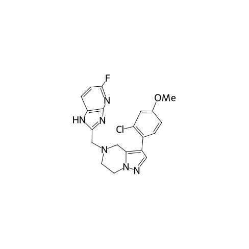 COc1ccc(-c2cnn3c2CN(Cc2nc4nc(F)ccc4[nH]2)CC3)c(Cl)c1